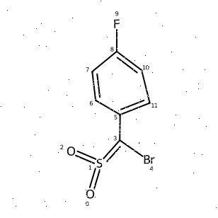 O=S(=O)=C(Br)c1ccc(F)cc1